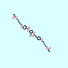 C=CC(=O)OCCCCCCOc1ccc(/C=C/C(=O)Oc2ccc(OC(=O)c3ccc(OCCCCCCOC(=O)C=C)cc3)cc2CC)cc1